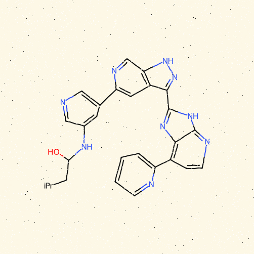 CC(C)CC(O)Nc1cncc(-c2cc3c(-c4nc5c(-c6ccccn6)ccnc5[nH]4)n[nH]c3cn2)c1